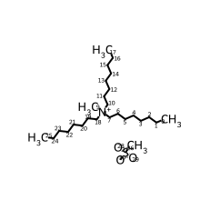 CCCCCCCC[N+](C)(CCCCCCCC)CCCCCCCC.CS(=O)(=O)[O-]